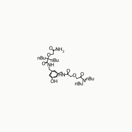 CCCCN(CCCC)C(=O)COCC(=O)NCc1cc(O)cc(CNC(=O)C(CCCC)(CCCC)OCC(N)=O)c1